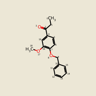 CCC(=O)c1ccc(OCc2ccccc2)c(OC)c1